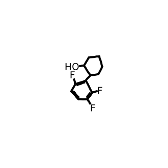 OC1CCCCC1c1c(F)ccc(F)c1F